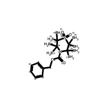 BC1(B)N(C(=O)OCc2ccccc2)C(B)(B)C(B)(B)S(=O)(=O)C1(B)B